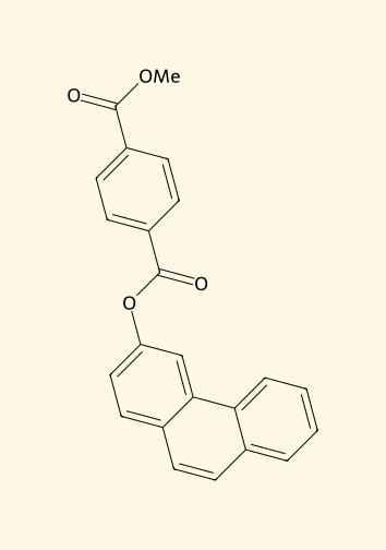 COC(=O)c1ccc(C(=O)Oc2ccc3ccc4ccccc4c3c2)cc1